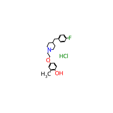 Cc1cc(OCCN2CCC(Cc3ccc(F)cc3)CC2)ccc1O.Cl